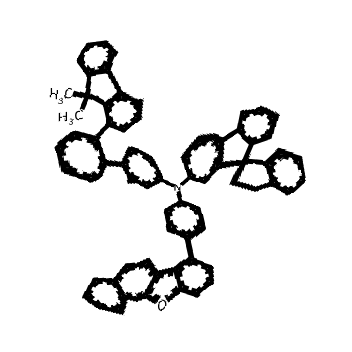 CC1(C)c2ccccc2-c2cccc(-c3ccccc3-c3ccc(N(c4ccc(-c5cccc6oc7c8ccccc8ccc7c56)cc4)c4ccc5c(c4)C4(CCc6ccccc64)c4ccccc4-5)cc3)c21